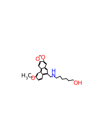 COc1ccc2c(CNCCCCCCO)cc3cc4c(cc3c2c1)OCO4